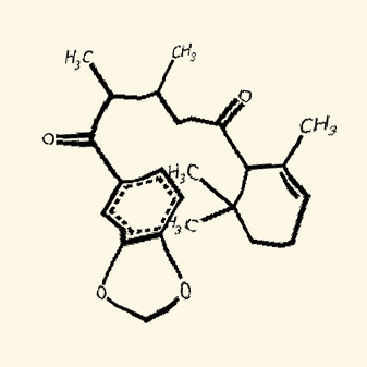 CC1=CCCC(C)(C)C1C(=O)CC(C)C(C)C(=O)c1ccc2c(c1)OCO2